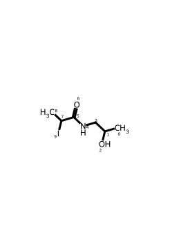 CC(O)CNC(=O)C(C)I